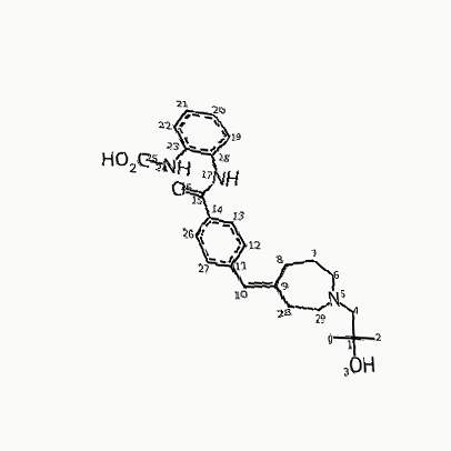 CC(C)(O)CN1CCCC(=Cc2ccc(C(=O)Nc3ccccc3NC(=O)O)cc2)CC1